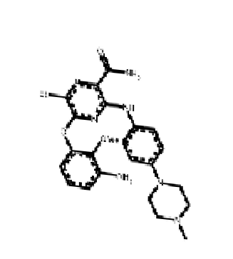 CCc1nc(C(N)=O)c(Nc2ccc(N3CCN(C)CC3)cc2)nc1Oc1cccc(N)c1OC